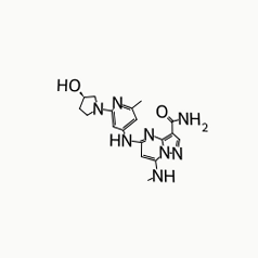 CNc1cc(Nc2cc(C)nc(N3CC[C@@H](O)C3)c2)nc2c(C(N)=O)cnn12